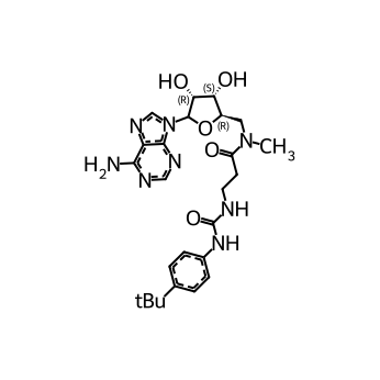 CN(C[C@H]1OC(n2cnc3c(N)ncnc32)[C@H](O)[C@@H]1O)C(=O)CCNC(=O)Nc1ccc(C(C)(C)C)cc1